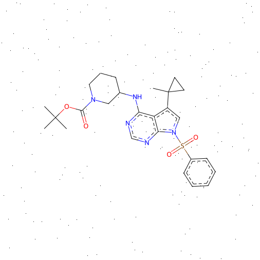 CC(C)(C)OC(=O)N1CCCC(Nc2ncnc3c2c(C2(C)CC2)cn3S(=O)(=O)c2ccccc2)C1